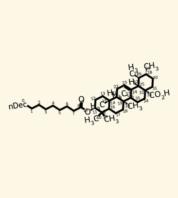 CCCCCCCCCCCCCCCCCC(=O)O[C@H]1CC[C@@]2(C)C(CC[C@]3(C)[C@@H]2CC=C2[C@@H]4[C@@H](C)[C@H](C)CC[C@]4(C(=O)O)CC[C@]23C)C1(C)C